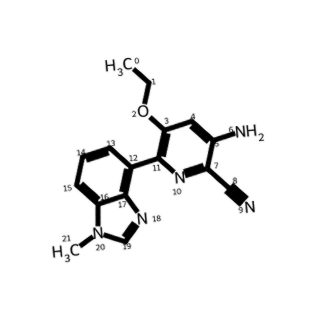 CCOc1cc(N)c(C#N)nc1-c1cccc2c1ncn2C